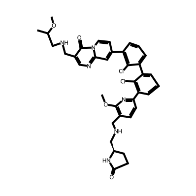 COc1nc(-c2cccc(-c3cccc(-c4ccn5c(=O)c(CNCC(C)OC)cnc5c4)c3Cl)c2Cl)ccc1CNC[C@H]1CCC(=O)N1